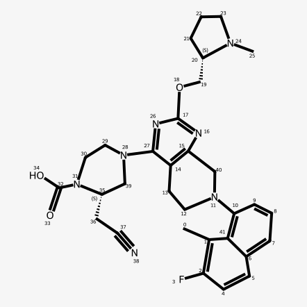 Cc1c(F)ccc2cccc(N3CCc4c(nc(OC[C@@H]5CCCN5C)nc4N4CCN(C(=O)O)[C@@H](CC#N)C4)C3)c12